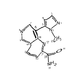 Cn1nccc1-c1cncc2ccc(C(N)=O)nc12